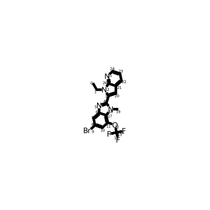 CCn1c(-c2nc3cc(Br)cc(OC(F)(F)F)c3n2C)cc2cccnc21